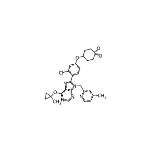 Cc1ccnc(Cn2c(-c3ccc(OC4CCS(=O)(=O)CC4)cc3Cl)nc3c(OC4(C)CC4)ncnc32)c1